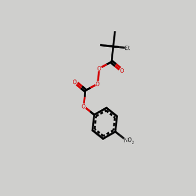 CCC(C)(C)C(=O)OOC(=O)Oc1ccc([N+](=O)[O-])cc1